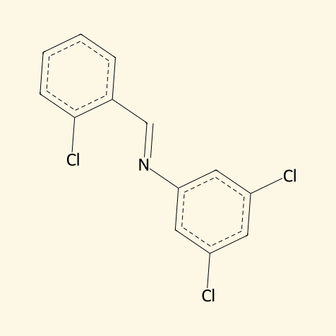 Clc1cc(Cl)cc(/N=C/c2ccccc2Cl)c1